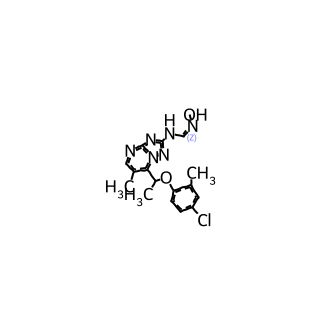 Cc1cc(Cl)ccc1OC(C)c1c(C)cnc2nc(N/C=N\O)nn12